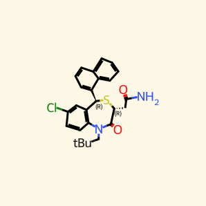 CC(C)(C)CN1C(=O)[C@@H](CC(N)=O)S[C@H](c2cccc3ccccc23)c2cc(Cl)ccc21